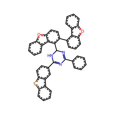 c1ccc(C2=NC(c3c(-c4cccc5oc6ccccc6c45)ccc4oc5ccccc5c34)NC(c3ccc4sc5ccccc5c4c3)=N2)cc1